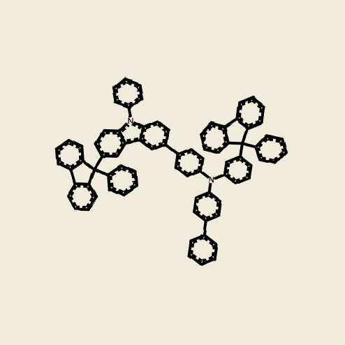 c1ccc(-c2ccc(N(c3ccc(-c4ccc5c(c4)c4cc(C6(c7ccccc7)c7ccccc7-c7ccccc76)ccc4n5-c4ccccc4)cc3)c3cccc(C4(c5ccccc5)c5ccccc5-c5ccccc54)c3)cc2)cc1